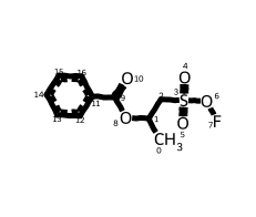 CC(CS(=O)(=O)OF)OC(=O)c1ccccc1